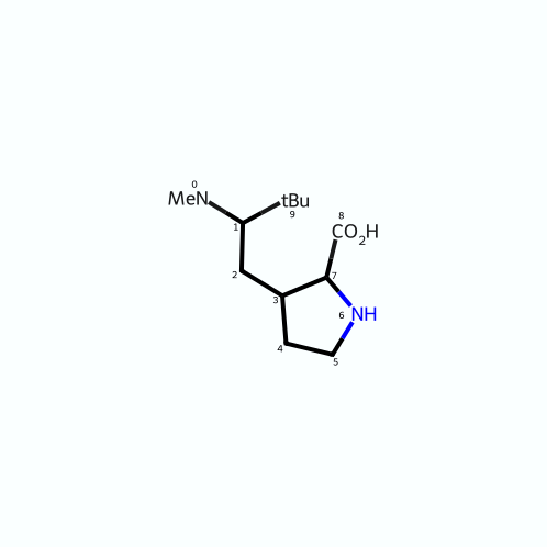 CNC(CC1CCNC1C(=O)O)C(C)(C)C